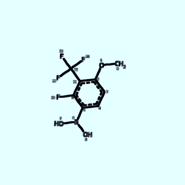 COc1ccc(B(O)O)c(F)c1C(F)(F)F